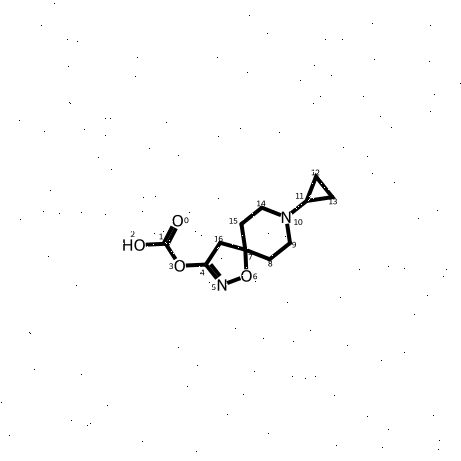 O=C(O)OC1=NOC2(CCN(C3CC3)CC2)C1